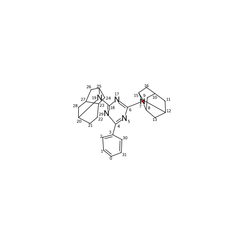 c1ccc(-c2nc(N3C4CC5CC(C4)CC3C5)nc(N3C4CCC5CC3CC5C4)n2)cc1